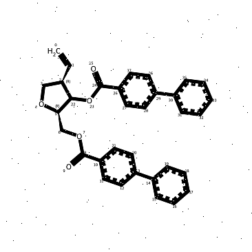 C=C[C@@H]1CO[C@H](COC(=O)c2ccc(-c3ccccc3)cc2)C1OC(=O)c1ccc(-c2ccccc2)cc1